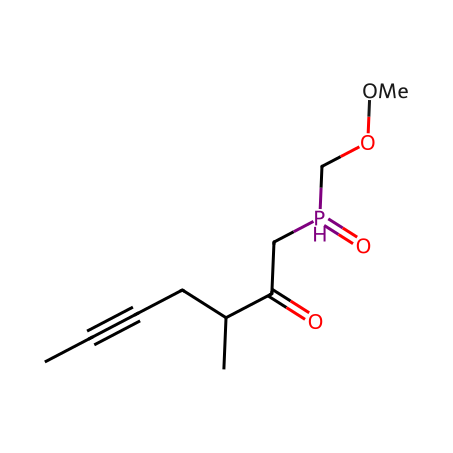 CC#CCC(C)C(=O)C[PH](=O)COOC